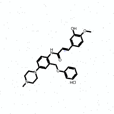 COc1ccc(/C=C/C(=O)Nc2ccc(N3CCN(C)CC3)cc2COc2ccccc2)cc1O.Cl